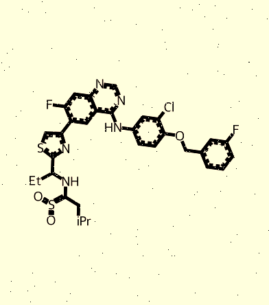 CCC(NC(CC(C)C)=S(=O)=O)c1nc(-c2cc3c(Nc4ccc(OCc5cccc(F)c5)c(Cl)c4)ncnc3cc2F)cs1